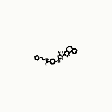 Nc1nc(Nc2ccc(C(=O)NCCN3CCCC3)cc2)nn1-c1cc2c(nn1)-c1ccccc1CCC2